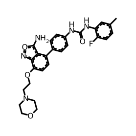 Cc1ccc(F)c(NC(=O)Nc2ccc(-c3ccc(OCCN4CCOCC4)c4noc(N)c34)cc2)c1